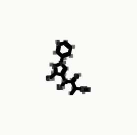 CCN(C(=O)C(C)OC(C)=O)c1cn(-c2cccnc2)nc1Cl